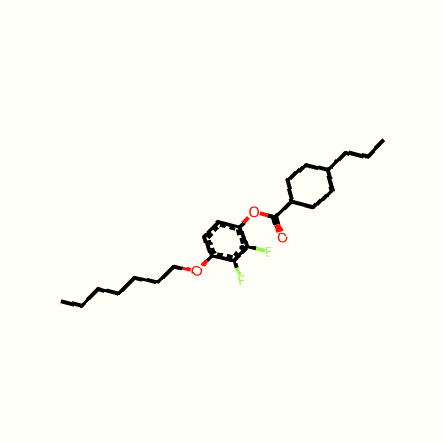 CCCCCCCOc1ccc(OC(=O)C2CCC(CCC)CC2)c(F)c1F